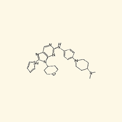 CN(C)C1CCN(c2ccc(Nc3ncc4nc([SH]5C=CC=C5)n(C5CCOCC5)c4n3)cc2)CC1